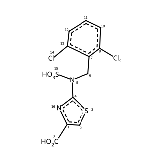 O=C(O)c1csc(N(Cc2c(Cl)cccc2Cl)S(=O)(=O)O)n1